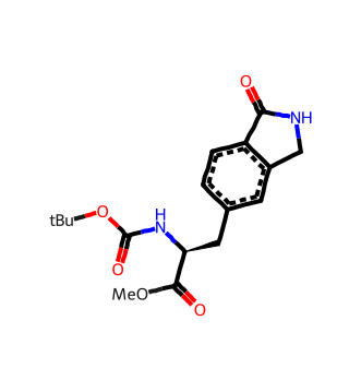 COC(=O)[C@H](Cc1ccc2c(c1)CNC2=O)NC(=O)OC(C)(C)C